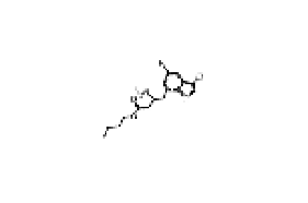 CCCCOC(=O)CC(N)Cc1cc(F)cc2c(Cl)coc12